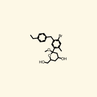 CCc1ccc(Cc2cc(C3(OC)CC(O)CC(CO)O3)c(C)cc2Br)cc1